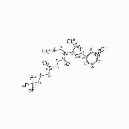 C#CCN(C(=O)CC[S+]([O-])CCCC(F)(F)F)c1sc(-c2ccc[n+]([O-])c2)nc1Cl